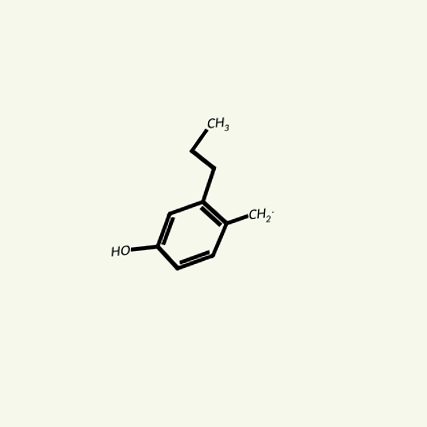 [CH2]c1ccc(O)cc1CCC